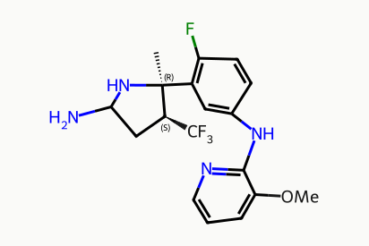 COc1cccnc1Nc1ccc(F)c([C@]2(C)NC(N)C[C@@H]2C(F)(F)F)c1